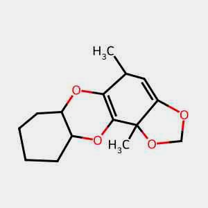 CC1C=C2OCOC2(C)C2=C1OC1CCCCC1O2